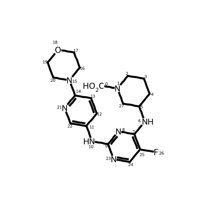 O=C(O)N1CCCC(Nc2nc(Nc3ccc(N4CCOCC4)nc3)ncc2F)C1